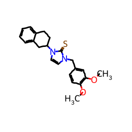 COc1ccc(Cn2ccn(C3CCc4ccccc4C3)c2=S)cc1OC